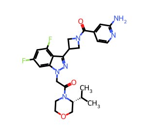 CC(C)[C@@H]1COCCN1C(=O)Cn1nc(C2CN(C(=O)c3ccnc(N)c3)C2)c2c(F)cc(F)cc21